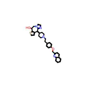 OC1Cn2ccnc2C(=C2CCN(CCc3ccc(OCc4ccc5ccccc5n4)cc3)CC2)c2ccsc21